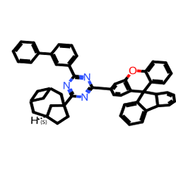 C1=CC2c3ccccc3C3(c4ccccc4Oc4cc(-c5nc(-c6cccc(-c7ccccc7)c6)nc(C67CC[C@@H](CC8CC(C8)C6)C7)n5)ccc43)C2C=C1